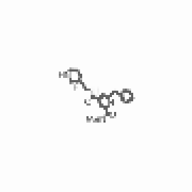 CNC(=O)c1cc(C(=O)NCC[C@]2(F)CCCNC2)cc(Cc2ccccc2)n1